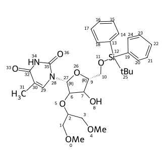 COCC(COC)OC1C(O)[C@@H](CO[Si](c2ccccc2)(c2ccccc2)C(C)(C)C)O[C@H]1n1cc(C)c(=O)[nH]c1=O